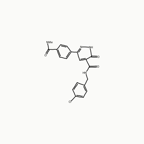 CNC(=O)c1ccc(-c2cc(C(=O)NCc3ccc(Cl)cc3)c(=O)[nH]n2)cc1